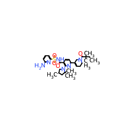 CCC(C)(C)C(=O)N1CCC=C(c2ccc(C(=O)NS(=O)(=O)c3cccc(N)n3)c(N3C[C@@H](C)CC3(C)C)n2)C1